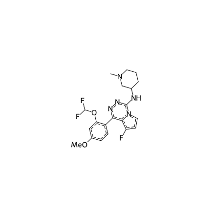 COc1ccc(-c2nnc(NC3CCCN(C)C3)n3ccc(F)c23)c(OC(F)F)c1